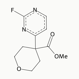 COC(=O)C1(c2ccnc(F)n2)CCOCC1